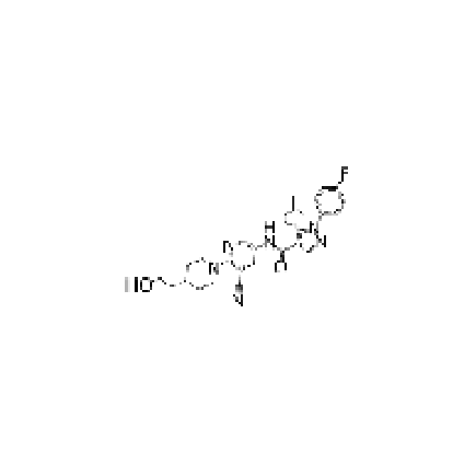 Cc1c(C(=O)Nc2cnc(N3CCC(CCO)CC3)c(C#N)c2)cnn1-c1ccc(F)cc1